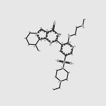 CCN1CCN(S(=O)(=O)c2cnc(OCCOC)c(-c3nc4c5n(cc4c(=O)[nH]3)CCCC5C)c2)CC1